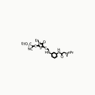 CCCN(C)CC(=O)Nc1cccc(NC=C=c2sc(=C=C(C#N)C(=O)OCC)n(CC)c2=O)c1